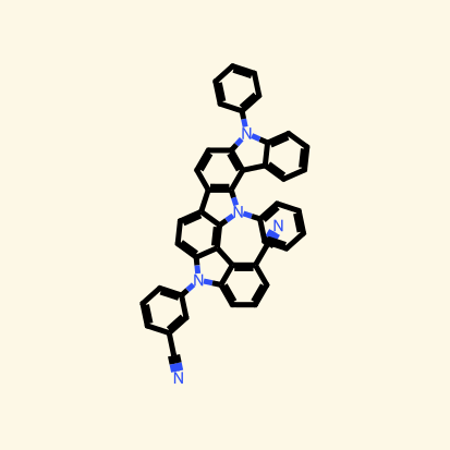 N#Cc1cccc(-n2c3cccc(C#N)c3c3c2ccc2c4ccc5c(c6ccccc6n5-c5ccccc5)c4n(-c4ccccc4)c23)c1